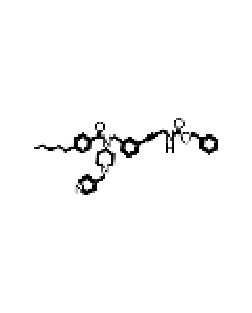 CCCCCc1ccc(C(=O)N(Cc2cccc(C#CCNC(=O)OCc3ccccc3)c2)C2CCN(Cc3ccncc3)CC2)cc1